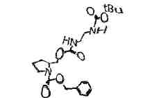 CC(C)(C)OC(=O)NCCNC(=O)OC[C@@H]1CCCN1C(=O)OCc1ccccc1